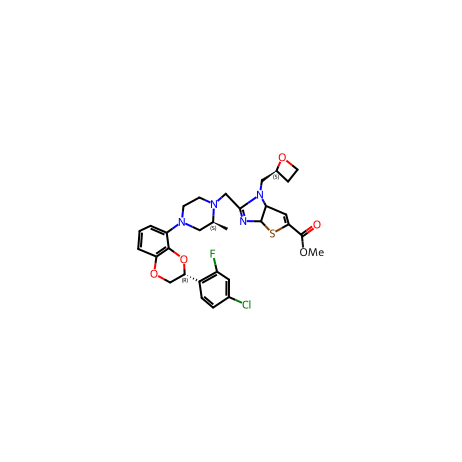 COC(=O)C1=CC2C(N=C(CN3CCN(c4cccc5c4O[C@H](c4ccc(Cl)cc4F)CO5)C[C@@H]3C)N2C[C@@H]2CCO2)S1